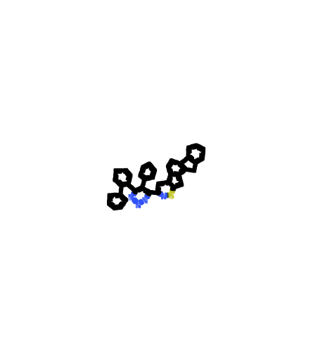 c1ccc(-c2ccccc2-c2nnnc(-c3cc4c5ccc6c(c5cc-4sn3)Cc3ccccc3-6)c2-c2ccccc2)cc1